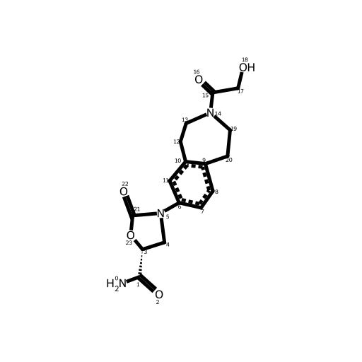 NC(=O)[C@H]1CN(c2ccc3c(c2)CCN(C(=O)CO)CC3)C(=O)O1